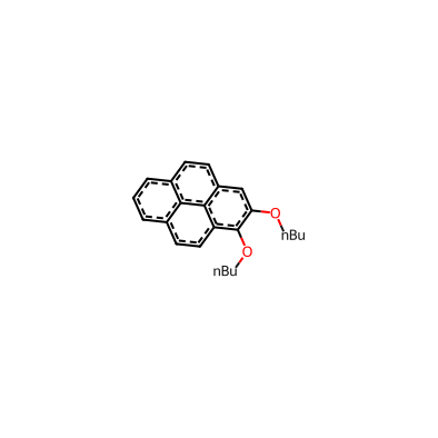 CCCCOc1cc2ccc3cccc4ccc(c1OCCCC)c2c34